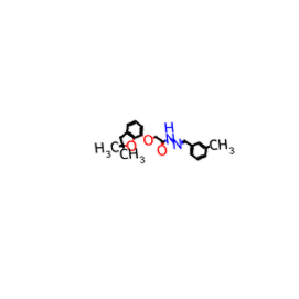 Cc1cccc(C=NNC(=O)COc2cccc3c2OC(C)(C)C3)c1